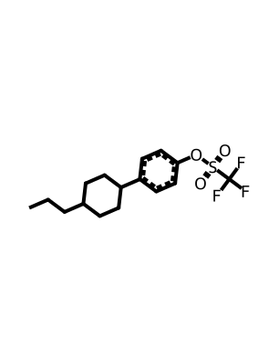 CCCC1CCC(c2ccc(OS(=O)(=O)C(F)(F)F)cc2)CC1